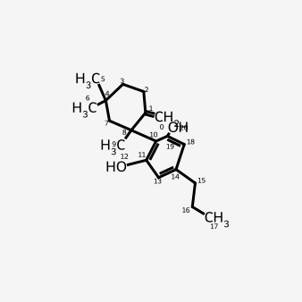 C=C1CCC(C)(C)CC1(C)c1c(O)cc(CCC)cc1O